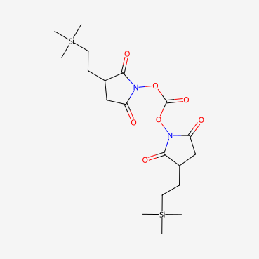 C[Si](C)(C)CCC1CC(=O)N(OC(=O)ON2C(=O)CC(CC[Si](C)(C)C)C2=O)C1=O